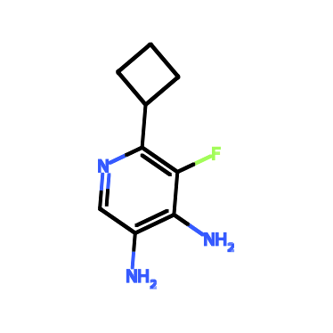 Nc1cnc(C2CCC2)c(F)c1N